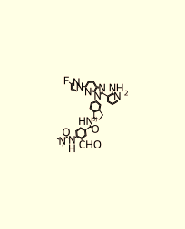 CN(C)C(=O)Nc1ccc(C(=O)N[C@H]2CCc3cc(-n4c(-c5cccnc5N)nc5ccc(-n6ccc(F)n6)nc54)ccc32)cc1C=O